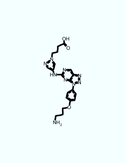 NCCCOc1ccc(-n2nnc3cnc(Nc4cnn(CCCC(=O)O)c4)nc32)cc1